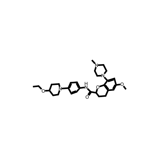 CCOC1CCN(c2ccc(NC(=O)C3CCc4cc(OC)cc(N5CCN(C)CC5)c4O3)cc2)CC1